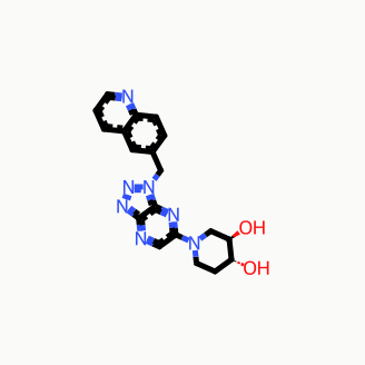 O[C@@H]1CCN(c2cnc3nnn(Cc4ccc5ncccc5c4)c3n2)C[C@H]1O